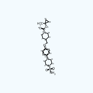 CC1(OC(=O)N2CCC(COc3cnc(N4CCN(S(N)(=O)=O)CC4)cn3)CC2)CC1